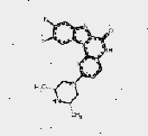 C[C@@H]1CN(c2ccc3[nH]c(=O)c4nc5cc(F)c(F)cc5n4c3n2)C[C@H](C)N1